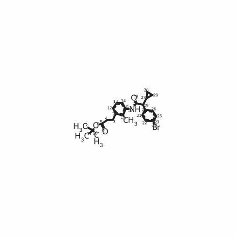 Cc1c(CCC(=O)OC(C)(C)C)cccc1NC(=O)C(c1ccc(Br)cc1)C1CC1